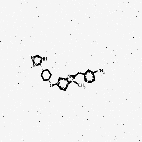 Cc1cccc(Cc2nc3cc(O[C@H]4CC[C@@H](c5nnc[nH]5)CC4)ccc3n2C)c1